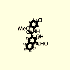 COc1ccc(Cl)cc1NC(=O)c1cc2ccccc2c(C=O)c1O